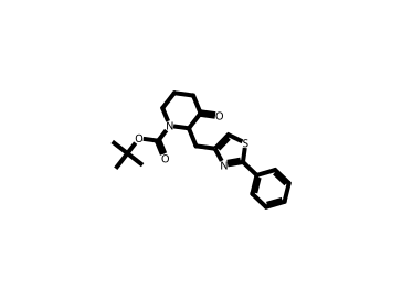 CC(C)(C)OC(=O)N1CCCC(=O)C1Cc1csc(-c2ccccc2)n1